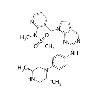 C[C@@H]1CN[C@@H](C)CN1c1ccc(Nc2ncc3ccn(Cc4cccnc4N(C)S(C)(=O)=O)c3n2)cc1